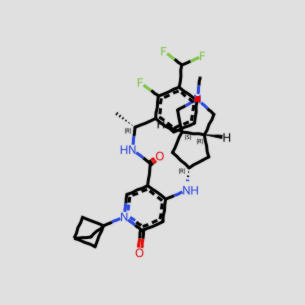 C[C@@H](NC(=O)c1cn(C23CC(C2)C3)c(=O)cc1N[C@@H]1C[C@@H]2CN(C)C[C@@H]2C1)c1cccc(C(F)F)c1F